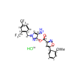 COc1ccccc1-c1cc(C(=O)Oc2nn(Cc3ccc(C(F)(F)F)cc3C(F)(F)F)cc2N)no1.Cl